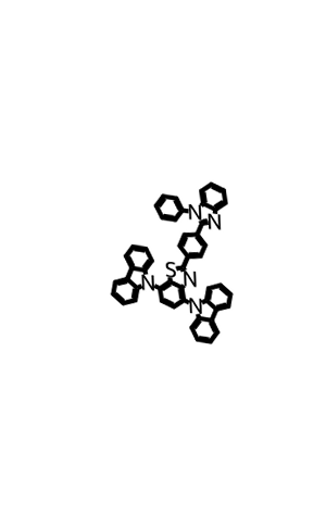 c1ccc(-n2c(-c3ccc(-c4nc5c(-n6c7ccccc7c7ccccc76)ccc(-n6c7ccccc7c7ccccc76)c5s4)cc3)nc3ccccc32)cc1